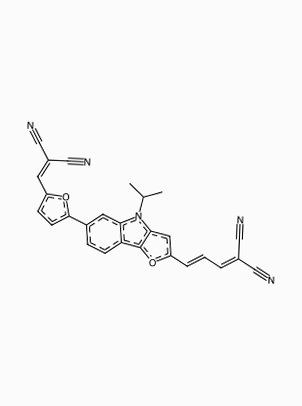 CC(C)n1c2cc(-c3ccc(C=C(C#N)C#N)o3)ccc2c2oc(/C=C/C=C(C#N)C#N)cc21